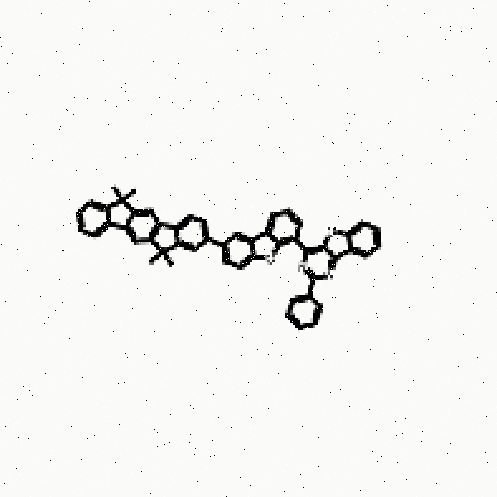 CC1(C)c2ccccc2-c2cc3c(cc21)-c1ccc(-c2ccc4oc5c(-c6nc(-c7ccccc7)nc7c6oc6ccccc67)cccc5c4c2)cc1C3(C)C